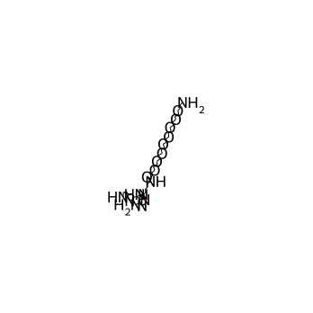 NCCOCCOCCOCCOCCOCCOCCOCCOCCC(=O)NCCCCN1NC(c2cnc3[nH]ccc3c2)c2c(N)ncnc21